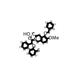 COc1ccc2c(c1OCc1ccccc1)C[C@@H](C(=O)O)N(C(=O)[C@@H](Oc1ccccc1F)c1ccccc1)C2